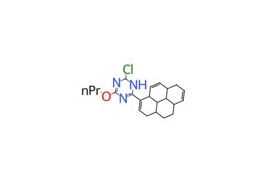 CCCOC1=NC(Cl)NC(C2=CCC3CCC4C=CCC5C=CC2C3C54)=N1